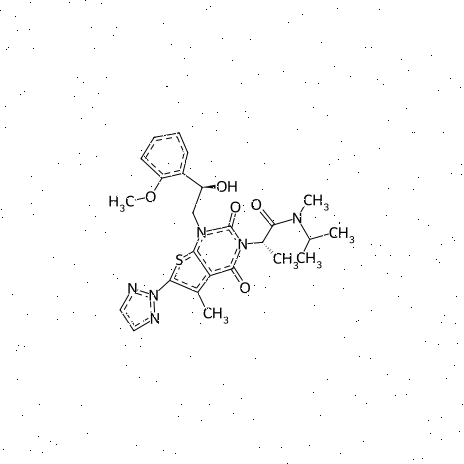 COc1ccccc1[C@@H](O)Cn1c(=O)n([C@@H](C)C(=O)N(C)C(C)C)c(=O)c2c(C)c(-n3nccn3)sc21